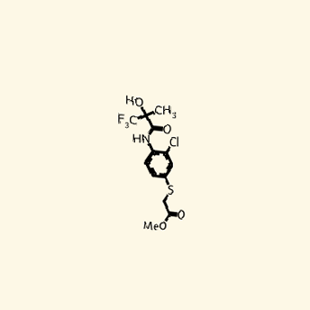 COC(=O)CSc1ccc(NC(=O)C(C)(O)C(F)(F)F)c(Cl)c1